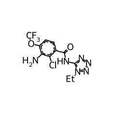 CCn1nnnc1NC(=O)c1ccc(OC(F)(F)F)c(N)c1Cl